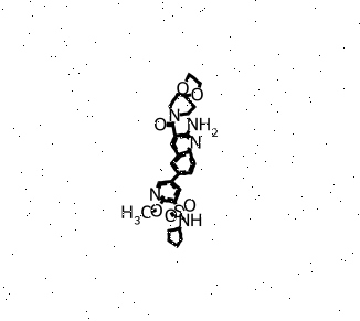 COc1ncc(-c2ccc3nc(N)c(C(=O)N4CCC5(CC4)OCCO5)cc3c2)cc1S(=O)(=O)NC1CCCC1